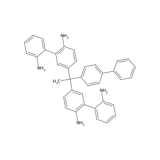 CC(c1ccc(-c2ccccc2)cc1)(c1ccc(N)c(-c2ccccc2N)c1)c1ccc(N)c(-c2ccccc2N)c1